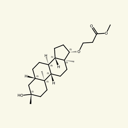 COC(=O)CCO[C@H]1CC[C@H]2[C@@H]3CC[C@H]4C[C@@](C)(O)CC[C@]4(C)[C@H]3CC[C@]12C